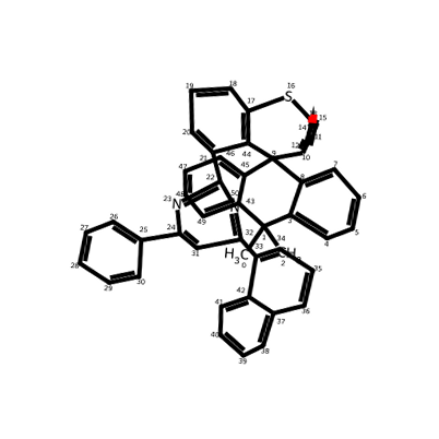 CC1(C)c2ccccc2C2(c3ccccc3Sc3cccc(-c4nc(-c5ccccc5)cc(-c5cccc6ccccc56)n4)c32)c2ccccc21